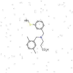 CCCCSc1cccc(CN(CCC(=O)O)Cc2cc(C)ccc2C)c1